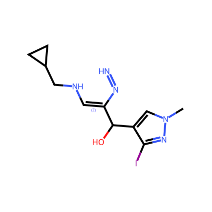 Cn1cc(C(O)/C(=C/NCC2CC2)N=N)c(I)n1